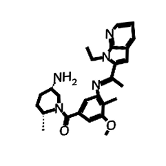 CCn1c(/C(C)=N/c2cc(C(=O)N3C[C@@H](N)CC[C@H]3C)cc(OC)c2C)cc2cccnc21